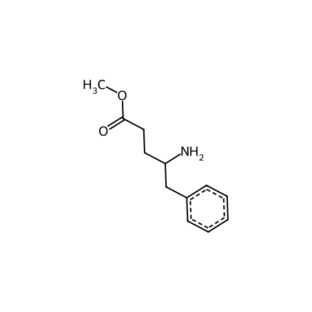 COC(=O)CCC(N)Cc1ccccc1